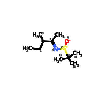 CCC(C)/C(C)=N/[S@@+]([O-])C(C)(C)C